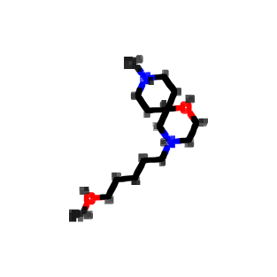 CCN1CCC2(CC1)CN(CCCCCOC(C)C)CCO2